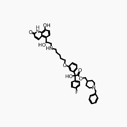 O=C(OCC1CCN(Cc2ccccc2)CC1)C(O)(c1ccc(F)cc1)c1cccc(OCCCCCNCC(O)c2ccc(O)c3[nH]c(=O)ccc23)c1